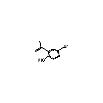 C=C(C)c1cc(Br)ccc1O